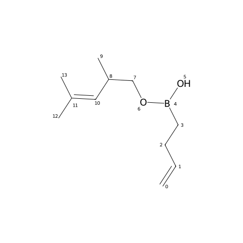 C=CCCB(O)OCC(C)C=C(C)C